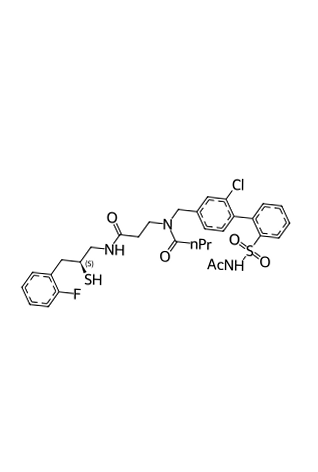 CCCC(=O)N(CCC(=O)NC[C@@H](S)Cc1ccccc1F)Cc1ccc(-c2ccccc2S(=O)(=O)NC(C)=O)c(Cl)c1